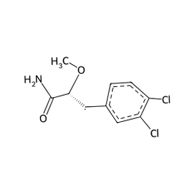 CO[C@H]([CH]c1ccc(Cl)c(Cl)c1)C(N)=O